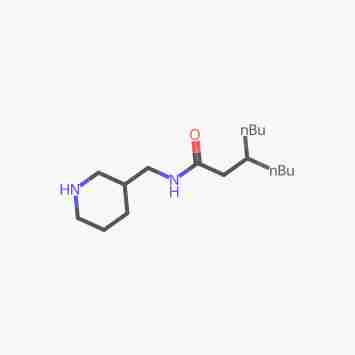 CCCCC(CCCC)CC(=O)NCC1CCCNC1